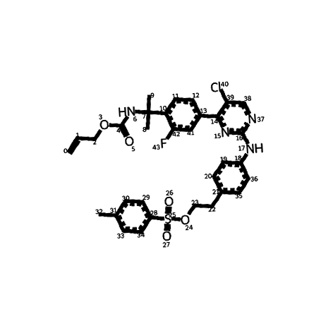 C=CCOC(=O)NC(C)(C)c1ccc(-c2nc(Nc3ccc(CCOS(=O)(=O)c4ccc(C)cc4)cc3)ncc2Cl)cc1F